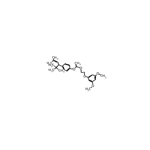 COc1cc(OC)cc(OCCOC(C)Oc2ccc(C(C=C(C)C)C(C)(C)C)cc2)c1